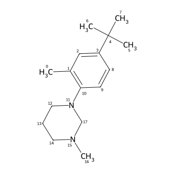 Cc1cc(C(C)(C)C)ccc1N1CCCN(C)C1